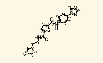 Cn1cnc(CCNC(=O)c2ccc(C(=O)Nc3ccc(-n4cncn4)cc3)s2)c1